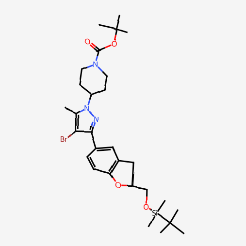 Cc1c(Br)c(-c2ccc3c(c2)CC(CO[Si](C)(C)C(C)(C)C)O3)nn1C1CCN(C(=O)OC(C)(C)C)CC1